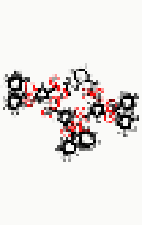 CC(C)(C)OC(=O)c1cc2c(cc1OC(=O)c1cc(OC(=O)c3cc(OC(=O)CC4CCCCC4)c4c(c3)OC(c3ccccc3)(c3ccccc3)O4)c3c(c1)OC(c1ccccc1)(c1ccccc1)O3)OC(c1ccccc1)(c1ccccc1)O2